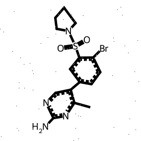 Cc1nc(N)ncc1-c1ccc(Br)c(S(=O)(=O)N2CCCC2)c1